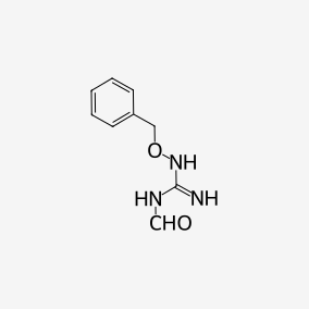 N=C(NC=O)NOCc1ccccc1